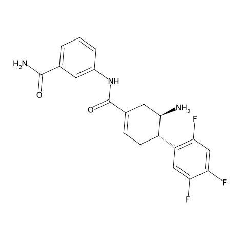 NC(=O)c1cccc(NC(=O)C2=CC[C@@H](c3cc(F)c(F)cc3F)[C@H](N)C2)c1